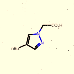 CCCCc1cnn(CC(=O)O)c1